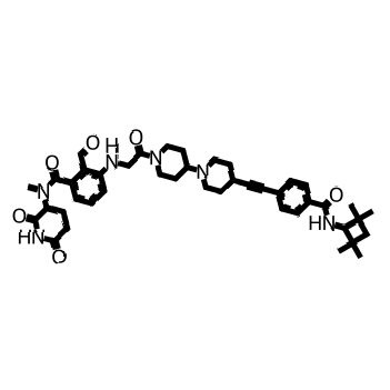 CN(C(=O)c1cccc(NCC(=O)N2CCC(N3CCC(C#Cc4ccc(C(=O)NC5C(C)(C)CC5(C)C)cc4)CC3)CC2)c1C=O)C1CCC(=O)NC1=O